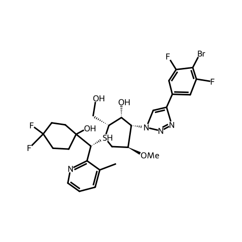 CO[C@H]1C[SH]([C@H](c2ncccc2C)C2(O)CCC(F)(F)CC2)[C@H](CO)[C@H](O)[C@@H]1n1cc(-c2cc(F)c(Br)c(F)c2)nn1